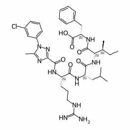 CC[C@H](C)[C@H](NC(=O)[C@H](CC(C)C)NC(=O)[C@H](CCCNC(=N)N)NC(=O)c1nc(C)n(-c2cccc(Cl)c2)n1)C(=O)N[C@@H](Cc1ccccc1)C(=O)O